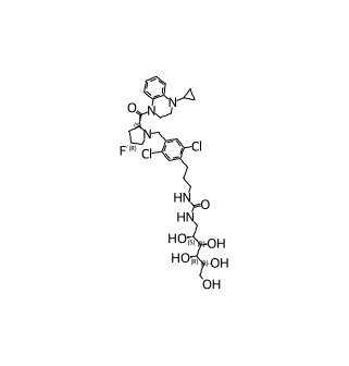 O=C(NCCCc1cc(Cl)c(CN2C[C@H](F)C[C@H]2C(=O)N2CCN(C3CC3)c3ccccc32)cc1Cl)NC[C@H](O)[C@@H](O)[C@H](O)[C@H](O)CO